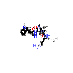 CN[C@H](C(=O)NC(C(=O)N(C)[C@H](/C=C(\C)C(=O)N[C@@H](CCCCN)C(=O)O)C(C)C)C(C)(C)C)C(C)(C)c1cn(C)c2ccccc12